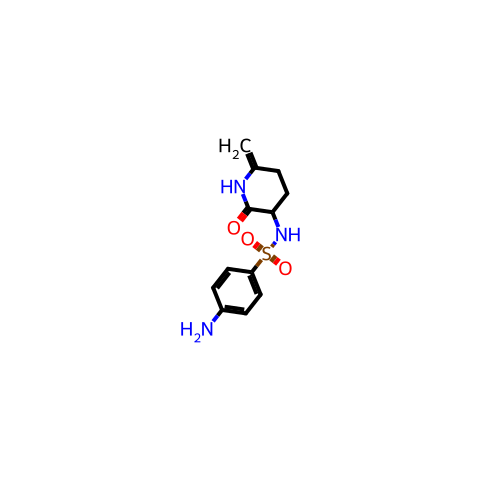 C=C1CCC(NS(=O)(=O)c2ccc(N)cc2)C(=O)N1